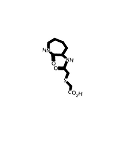 O=C(O)CSCC(=O)NC1CCCCNC1=O